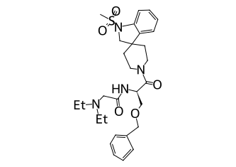 CCN(CC)CC(=O)N[C@H](COCc1ccccc1)C(=O)N1CCC2(CC1)CN(S(C)(=O)=O)c1ccccc12